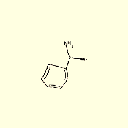 [CH2][C@H](N)c1ccccc1